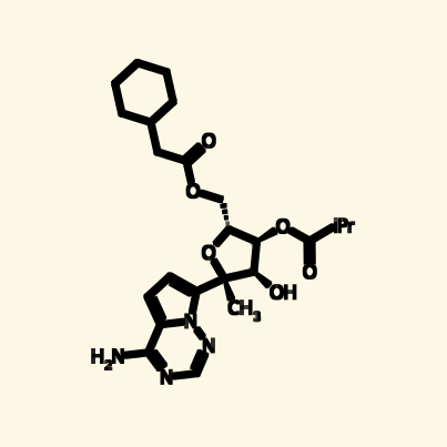 CC(C)C(=O)O[C@H]1[C@@H](O)[C@](C)(c2ccc3c(N)ncnn23)O[C@@H]1COC(=O)CC1CCCCC1